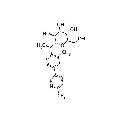 Cc1cc(-c2cnc(C(F)(F)F)cn2)ccc1[C@@H](C)[C@H]1O[C@H](CO)[C@@H](O)[C@H](O)[C@@H]1O